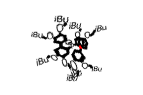 CCC(C)COc1ccc(-c2cc(OCC(C)CC)c(OCC(C)CC)cc2P(=O)(c2ccccc2)c2cc(OCC(C)CC)c(OCC(C)CC)cc2-c2ccc(OCC(C)CC)c(OCC(C)CC)c2)cc1OCC(C)CC